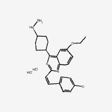 CCOc1ccc2nc(/C=C\c3ccc(Cl)cc3)nc(C3CCC(NN)CC3)c2c1.Cl.Cl